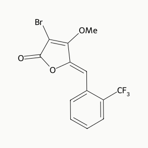 COC1=C(Br)C(=O)O/C1=C\c1ccccc1C(F)(F)F